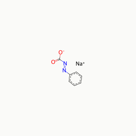 O=C([O-])N=Nc1ccccc1.[Na+]